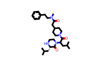 CC(C)CC(C(=O)N1CCC(CC(=O)N(C)CCc2ccccc2)CC1)N1CCN[C@@H](CC(C)C)C1=O